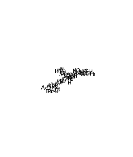 CC(=O)N1CCN(C2CC3(CCN(c4ccc(C(=O)NS(=O)(=O)c5cnc(NC[C@H]6CC[C@](C)(O)CC6)c([N+](=O)[O-])c5)c(Oc5cnc6[nH]ccc6c5)c4)CC3)C2)[C@H](c2ccccc2C(C)C)C1